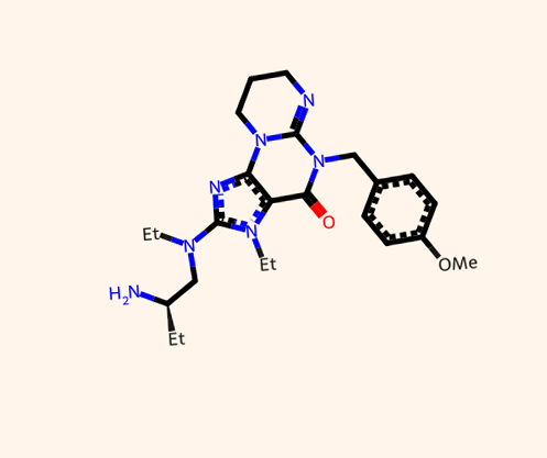 CC[C@@H](N)CN(CC)c1nc2c(n1CC)C(=O)N(Cc1ccc(OC)cc1)C1=NCCCN12